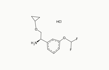 Cl.N[C@@H](COC1CC1)c1cccc(OC(F)F)c1